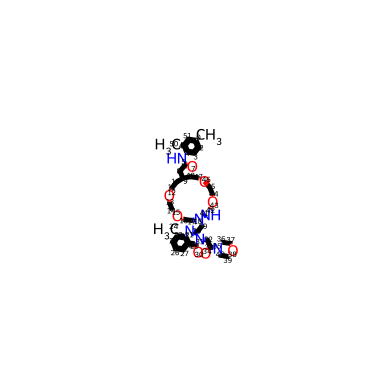 Cc1ccc(NC(=O)CC2CCOCCOCCN(Cc3nc4c(C)cccc4c(=O)n3CC(=O)N3CCOCC3)NCOCCOCC2)c(C)c1